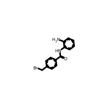 Nc1ccccc1NC(=O)c1ccc(CBr)cc1